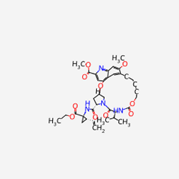 C=C[C@@H]1C[C@]1(NC(=O)[C@@H]1C[C@@H]2CN1C(=O)[C@H](C(C)C)NC(=O)OCCCCCc1cc3c(cc(C(=O)OC)nc3cc1OC)O2)C(=O)OCC